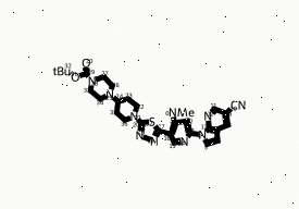 CNc1cc(-n2ccc3cc(C#N)cnc32)ncc1-c1nnc(N2CCC(N3CCN(C(=O)OC(C)(C)C)CC3)CC2)s1